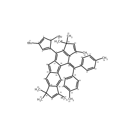 CCCCC1C=C(C(C)(C)C)C=C1c1c2c(c(=C(c3ccc(C)cc3)c3ccc(C)cc3)c3c1[C]=c1cc4c(cc1=3)C(C)=CC4(C)C)C(C)=CC2(C)C